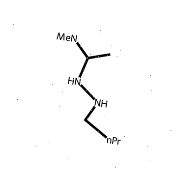 CCCCNNC(C)NC